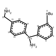 CCCCc1cccc(N(N)c2ccc(CN)cc2)c1